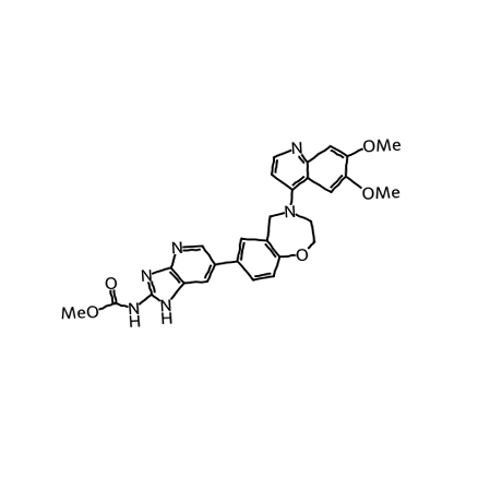 COC(=O)Nc1nc2ncc(-c3ccc4c(c3)CN(c3ccnc5cc(OC)c(OC)cc35)CCO4)cc2[nH]1